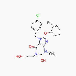 CCc1ccccc1Oc1nc2c(n1Cc1ccc(Cl)cc1)C(=O)N(CCCO)C(O)N2C